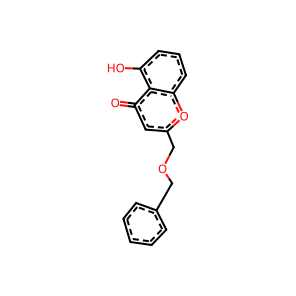 O=c1cc(COCc2ccccc2)oc2cccc(O)c12